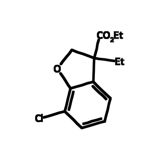 CCOC(=O)C1(CC)COc2c(Cl)cccc21